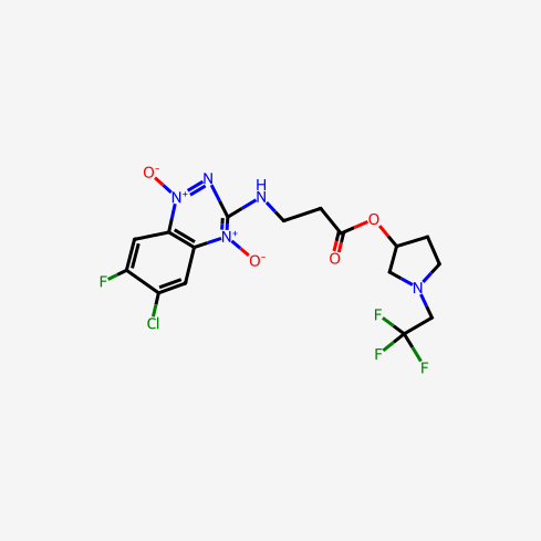 O=C(CCNc1n[n+]([O-])c2cc(F)c(Cl)cc2[n+]1[O-])OC1CCN(CC(F)(F)F)C1